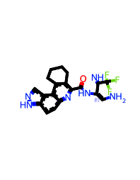 N=C(/C(=C\N)NC(=O)c1nc2ccc3[nH]ncc3c2c2c1CCCC2)C(F)(F)F